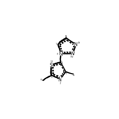 Cc1nc(C)c(-n2ccnn2)s1